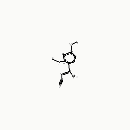 CSc1ccc(C(N)=CC#N)c(SC)c1